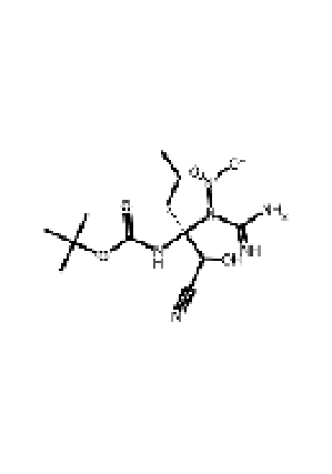 CCC[C@@](NC(=O)OC(C)(C)C)(C(O)C#N)N(C(=N)N)[N+](=O)[O-]